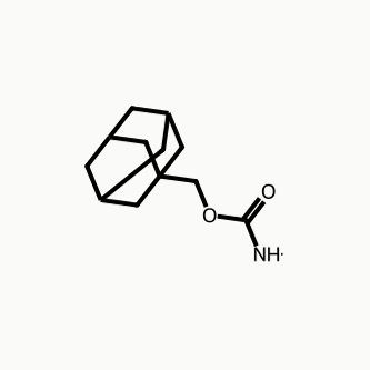 [NH]C(=O)OCC12CC3CC(CC(C3)C1)C2